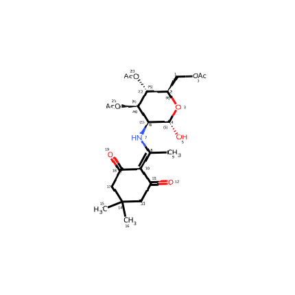 CC(=O)OC[C@H]1O[C@H](O)[C@@H](NC(C)=C2C(=O)CC(C)(C)CC2=O)[C@@H](OC(C)=O)[C@@H]1OC(C)=O